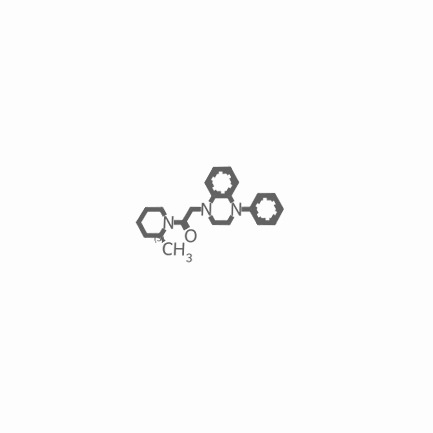 C[C@H]1CCCCN1C(=O)CN1CCN(c2ccccc2)c2ccccc21